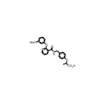 COc1cccc(Oc2ncccc2C(=O)NCc2ccc(OC(C)C(=O)O)cc2)c1